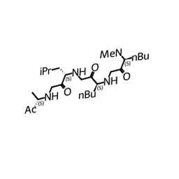 CCCC[C@H](NC)C(=O)CN[C@@H](CCCC)C(=O)CN[C@@H](CC(C)C)C(=O)CN[C@@H](C)C(C)=O